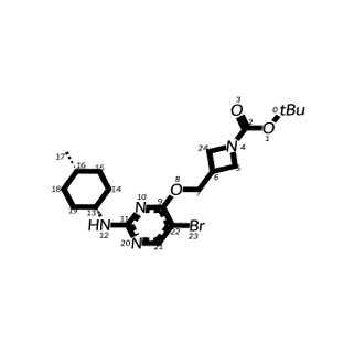 CC(C)(C)OC(=O)N1CC(COc2nc(N[C@H]3CC[C@@H](C)CC3)ncc2Br)C1